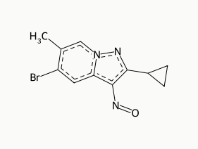 Cc1cn2nc(C3CC3)c(N=O)c2cc1Br